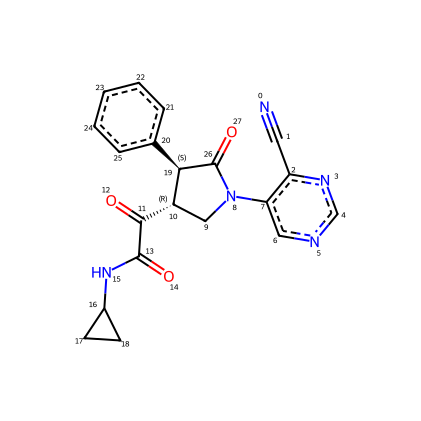 N#Cc1ncncc1N1C[C@H](C(=O)C(=O)NC2CC2)[C@@H](c2ccccc2)C1=O